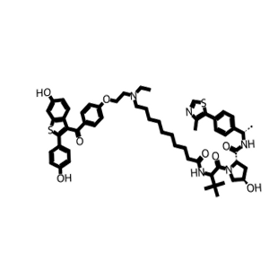 CCN(CCCCCCCCCC(=O)NC(C(=O)N1C[C@H](O)C[C@H]1C(=O)N[C@@H](C)c1ccc(-c2scnc2C)cc1)C(C)(C)C)CCOc1ccc(C(=O)c2c(-c3ccc(O)cc3)sc3cc(O)ccc23)cc1